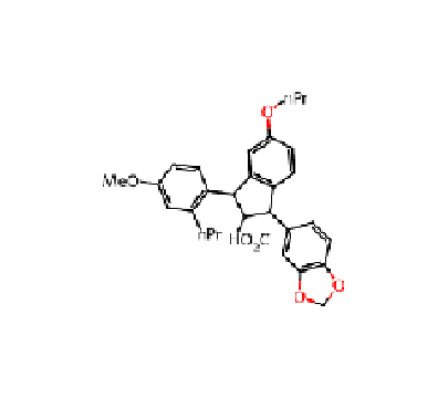 CCCOc1ccc2c(c1)C(c1ccc(OC)cc1CCC)C(C(=O)O)C2c1ccc2c(c1)OCO2